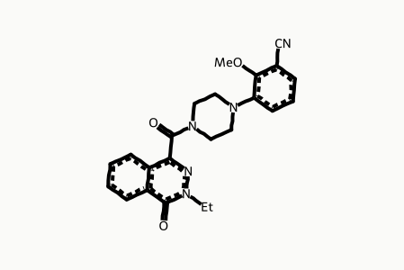 CCn1nc(C(=O)N2CCN(c3cccc(C#N)c3OC)CC2)c2ccccc2c1=O